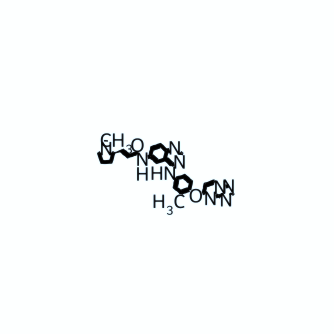 Cc1cc(Nc2ncnc3ccc(NC(=O)/C=C/[C@H]4CCCN4C)cc23)ccc1Oc1ccn2ncnc2n1